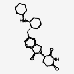 O=C1CC[C@@H](N2Cc3cc(C[C@H]4CCCC[C@@H]4NC4CCCCC4)ccc3C2=O)C(=O)N1